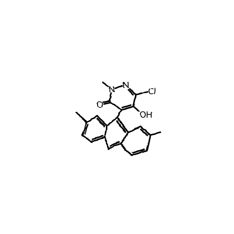 Cc1ccc2cc3ccc(C)cc3c(-c3c(O)c(Cl)nn(C)c3=O)c2c1